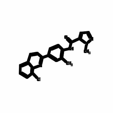 Cc1cc(-c2ccc3cccc(Cl)c3n2)ccc1NC(=O)c1ccnn1C